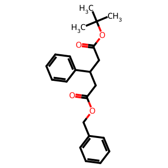 CC(C)(C)OC(=O)CC(CC(=O)OCc1ccccc1)c1ccccc1